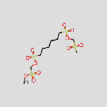 CC(C)OS(=O)(=O)COS(=O)(=O)CCCCCCS(=O)(=O)OCS(C)(=O)=O